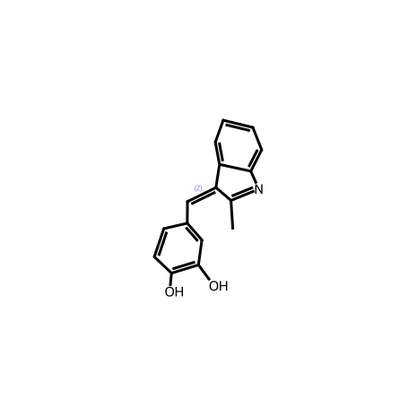 CC1=Nc2ccccc2/C1=C/c1ccc(O)c(O)c1